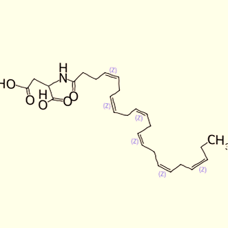 CC/C=C\C/C=C\C/C=C\C/C=C\C/C=C\C/C=C\CCC(=O)NC(CC(=O)O)C(=O)O